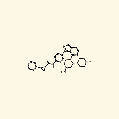 CN1CCC(C2CN(N)CCC2c2nccc3cnn(-c4ccc(NC(=O)C5CC5c5ccccc5)cc4)c23)CC1